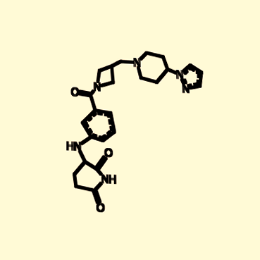 O=C1CCC(Nc2cccc(C(=O)N3CC(CN4CCC(n5cccn5)CC4)C3)c2)C(=O)N1